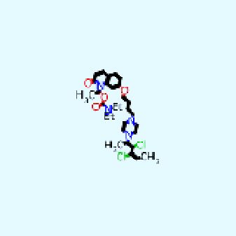 C/C=C(Cl)\C(Cl)=C(/C)N1CCN(CCCCOc2ccc3ccc(=O)n(C(C)OC(=O)N(CC)CC)c3c2)CC1